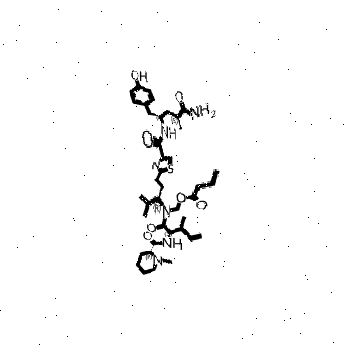 CCCC(=O)OCN(C(=O)[C@@H](NC(=O)[C@H]1CCCCN1C)C(C)CC)[C@H](CCc1nc(C(=O)N[C@@H](Cc2ccc(O)cc2)C[C@H](C)C(N)=O)cs1)C(C)C